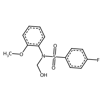 COc1ccccc1N(CO)S(=O)(=O)c1ccc(F)cc1